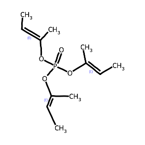 C/C=C(\C)OP(=O)(O/C(C)=C/C)O/C(C)=C/C